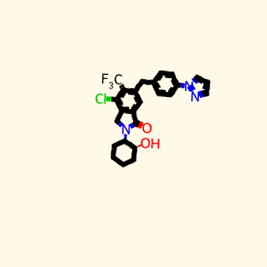 O=C1c2cc(Cc3ccc(-n4cccn4)cc3)c(C(F)(F)F)c(Cl)c2CN1[C@@H]1CCCC[C@H]1O